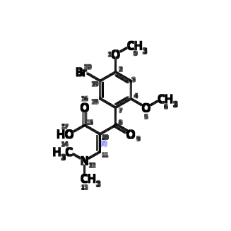 COc1cc(OC)c(C(=O)/C(=C/N(C)C)C(=O)O)cc1Br